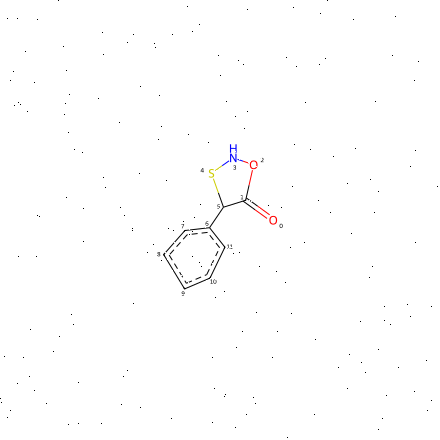 O=C1ONSC1c1ccccc1